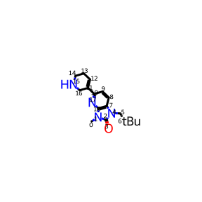 Cn1c(=O)n(CC(C)(C)C)c2ccc(C3=CCCNC3)nc21